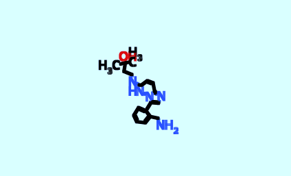 CC(C)(O)CCNc1ccc2ncc(-c3ccccc3CN)n2n1